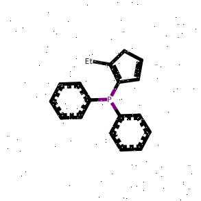 CCC1=C(P(c2ccccc2)c2ccccc2)C=CC1